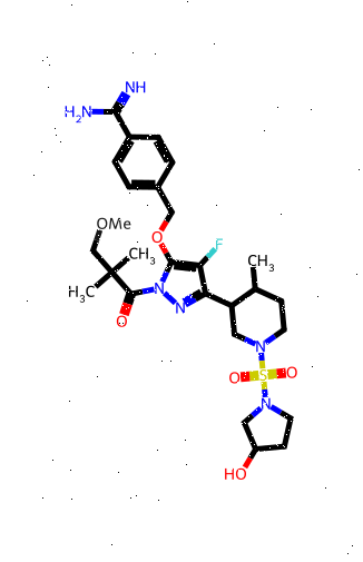 COCC(C)(C)C(=O)n1nc(C2CN(S(=O)(=O)N3CCC(O)C3)CCC2C)c(F)c1OCc1ccc(C(=N)N)cc1